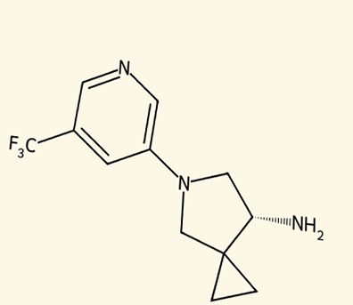 N[C@H]1CN(c2cncc(C(F)(F)F)c2)CC12CC2